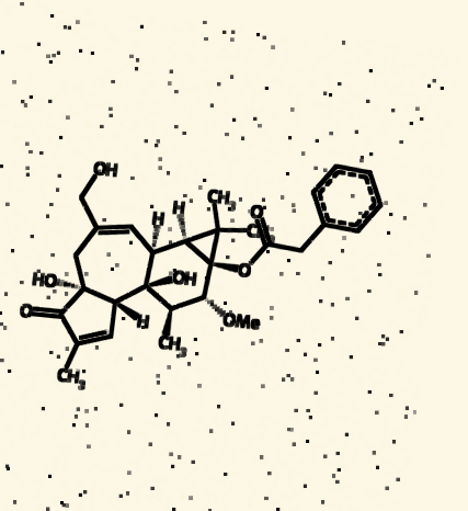 CO[C@@H]1[C@@H](C)[C@@]2(O)[C@@H](C=C(CO)C[C@]3(O)C(=O)C(C)=C[C@@H]23)[C@H]2C(C)(C)[C@]12OC(=O)Cc1ccccc1